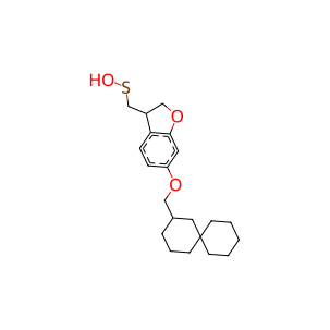 OSCC1COc2cc(OCC3CCCC4(CCCCC4)C3)ccc21